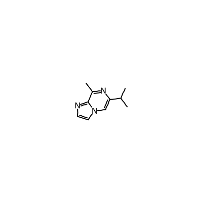 Cc1nc(C(C)C)cn2ccnc12